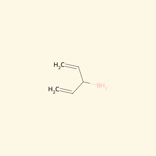 BC(C=C)C=C